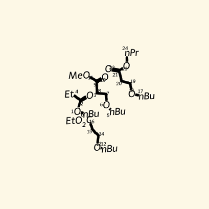 CCCCOC(=O)CC.CCCCOCCC(=O)OC.CCCCOCCC(=O)OCC.CCCCOCCC(=O)OCCC